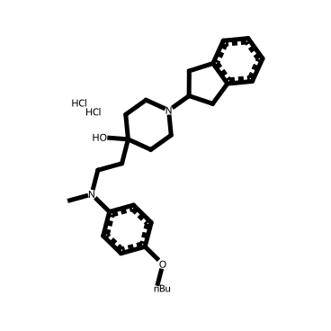 CCCCOc1ccc(N(C)CCC2(O)CCN(C3Cc4ccccc4C3)CC2)cc1.Cl.Cl